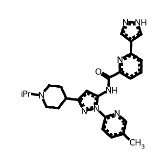 Cc1ccc(-n2nc(C3CCN(C(C)C)CC3)cc2NC(=O)c2cccc(-c3cn[nH]c3)n2)nc1